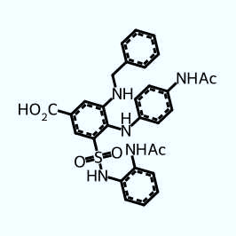 CC(=O)Nc1ccc(Nc2c(NCc3ccccc3)cc(C(=O)O)cc2S(=O)(=O)Nc2ccccc2NC(C)=O)cc1